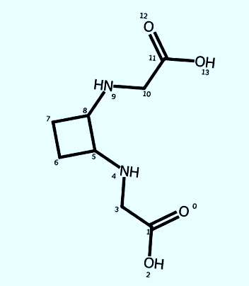 O=C(O)CNC1CCC1NCC(=O)O